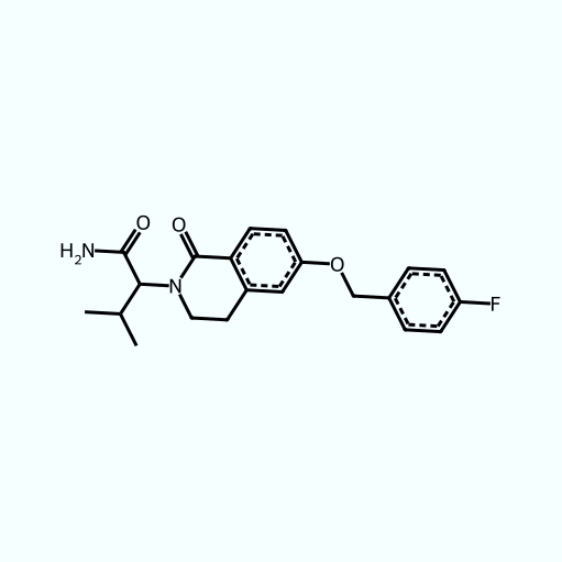 CC(C)C(C(N)=O)N1CCc2cc(OCc3ccc(F)cc3)ccc2C1=O